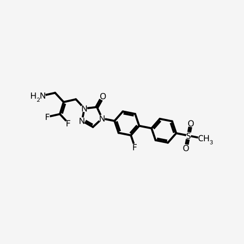 CS(=O)(=O)c1ccc(-c2ccc(-n3cnn(CC(CN)=C(F)F)c3=O)cc2F)cc1